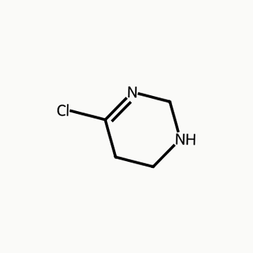 ClC1=NCNCC1